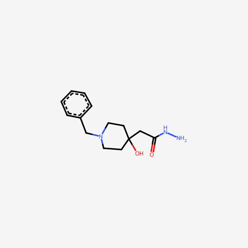 NNC(=O)CC1(O)CCN(Cc2ccccc2)CC1